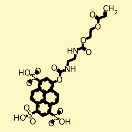 C=CC(=O)OCCOC(=O)NCCNC(=O)Oc1cc(S(=O)(=O)O)c2ccc3c(S(=O)(=O)O)cc(S(=O)(=O)O)c4ccc1c2c43